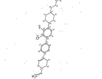 C=CC1CC=C(c2ccc(-c3ccc(C4CCC(CCC)CC4)c(F)c3Cl)cc2)CC1